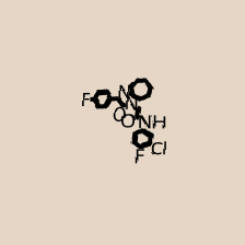 O=C(CN1C(=O)C(c2ccc(F)cc2)=NC12CCCCCC2)Nc1ccc(F)c(Cl)c1